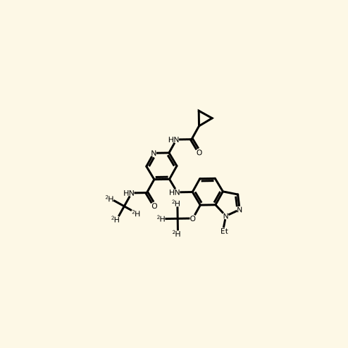 [2H]C([2H])([2H])NC(=O)c1cnc(NC(=O)C2CC2)cc1Nc1ccc2cnn(CC)c2c1OC([2H])([2H])[2H]